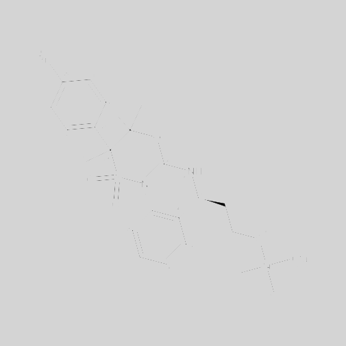 CC1(C)OC(N[C@@H](CCO[Si](C)(C)C(C)(C)C)c2ccccc2)=NS(=O)(=O)C1(C)c1ccc(Br)cc1